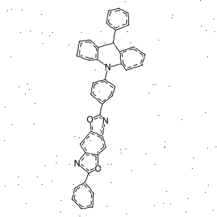 c1ccc(-c2nc3cc4oc(-c5ccc(N6c7ccccc7C(c7ccccc7)c7ccccc76)cc5)nc4cc3o2)cc1